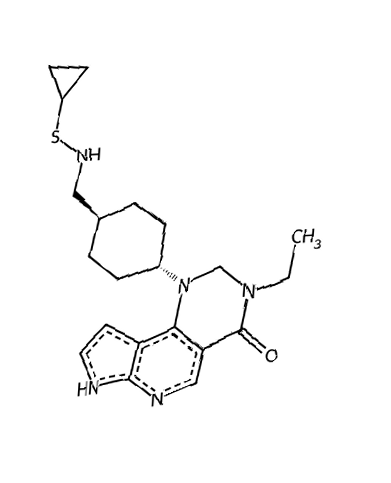 CCN1CN([C@H]2CC[C@H](CNSC3CC3)CC2)c2c(cnc3[nH]ccc23)C1=O